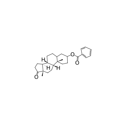 C[C@]12CCC(OC(=O)c3ccccc3)CC1CC[C@@H]1[C@H]2CC[C@]2(C)C(=O)CC[C@@H]12